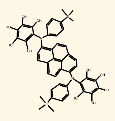 C[Si](C)(C)c1ccc(N(c2c(O)c(O)c(O)c(O)c2O)c2ccc3ccc4c(N(c5ccc([Si](C)(C)C)cc5)c5c(O)c(O)c(O)c(O)c5O)ccc5ccc2c3c54)cc1